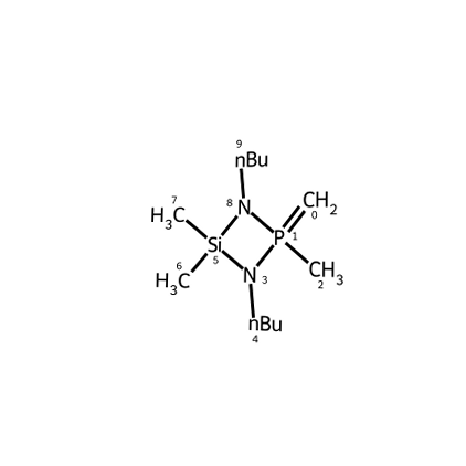 C=P1(C)N(CCCC)[Si](C)(C)N1CCCC